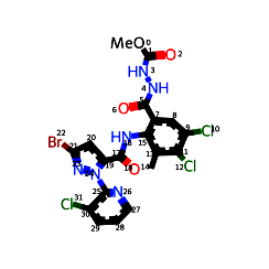 COC(=O)NNC(=O)c1cc(Cl)c(Cl)c(C)c1NC(=O)c1cc(Br)nn1-c1ncccc1Cl